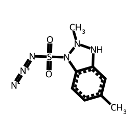 Cc1ccc2c(c1)NN(C)N2S(=O)(=O)N=[N+]=[N-]